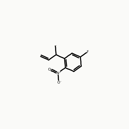 [CH2]C(C=C)c1cc(F)ccc1[N+](=O)[O-]